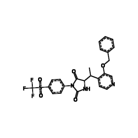 CC(c1ccncc1OCc1ccccc1)C1NC(=O)N(c2ccc(S(=O)(=O)C(F)(F)F)cc2)C1=O